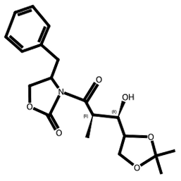 C[C@@H](C(=O)N1C(=O)OCC1Cc1ccccc1)[C@@H](O)C1COC(C)(C)O1